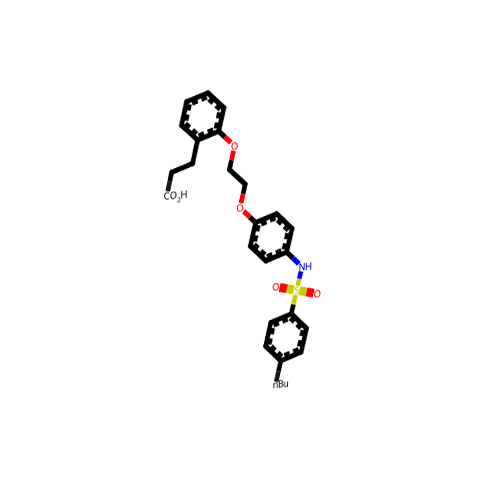 CCCCc1ccc(S(=O)(=O)Nc2ccc(OCCOc3ccccc3CCC(=O)O)cc2)cc1